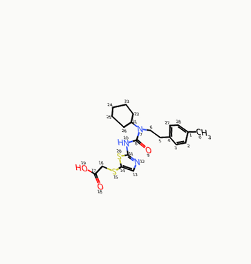 Cc1ccc(CCN(C(=O)Nc2ncc(SCC(=O)O)s2)C2CCCCC2)cc1